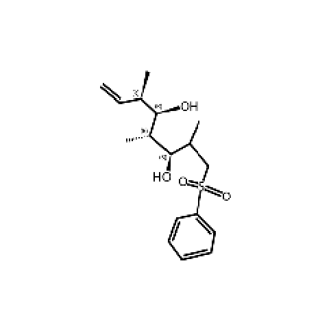 C=C[C@@H](C)[C@@H](O)[C@@H](C)[C@H](O)C(C)CS(=O)(=O)c1ccccc1